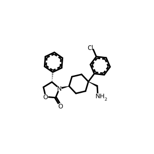 NC[C@]1(c2cccc(Cl)c2)CC[C@H](N2C(=O)OC[C@@H]2c2ccccc2)CC1